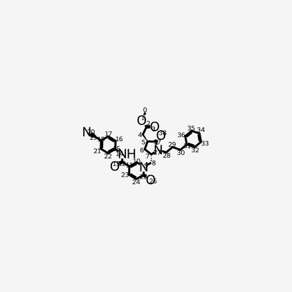 COC(=O)C[C@@H]1C[C@@H](Cn2cc(C(=O)Nc3ccc(C#N)cc3)ccc2=O)N(CCCc2ccccc2)C1=O